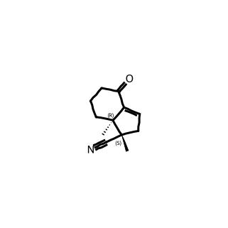 C[C@]1(C#N)CC=C2C(=O)CCC[C@@]21C